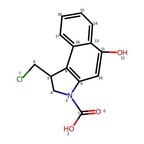 O=C(O)N1CC(CCl)c2c1cc(O)c1ccccc21